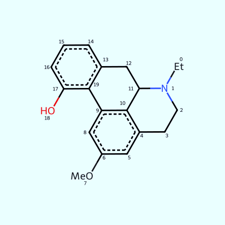 CCN1CCc2cc(OC)cc3c2C1Cc1cccc(O)c1-3